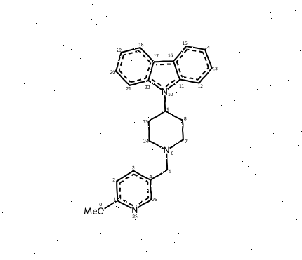 COc1ccc(CN2CCC(n3c4ccc[c]c4c4ccccc43)CC2)cn1